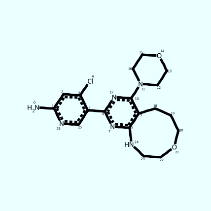 Nc1cc(Cl)c(-c2nc3c(c(N4CCOCC4)n2)CCCOCCN3)cn1